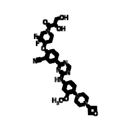 COc1cc(Nc2ncnc(-c3ccc(OC4CCN(C(=O)C(O)CO)CC4(F)F)c(C#N)c3)n2)ccc1N1CCN(C2COC2)CC1